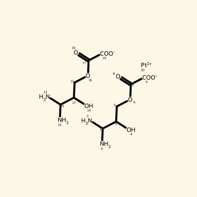 NC(N)C(O)COC(=O)C(=O)[O-].NC(N)C(O)COC(=O)C(=O)[O-].[Pt+2]